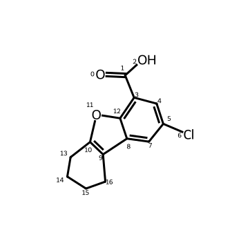 O=C(O)c1cc(Cl)cc2c3c(oc12)CCCC3